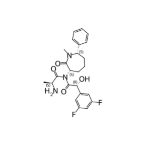 C[C@H](N)C(=O)N(C(=O)[C@H](O)c1cc(F)cc(F)c1)[C@H]1CCC[C@@H](c2ccccc2)N(C)C1=O